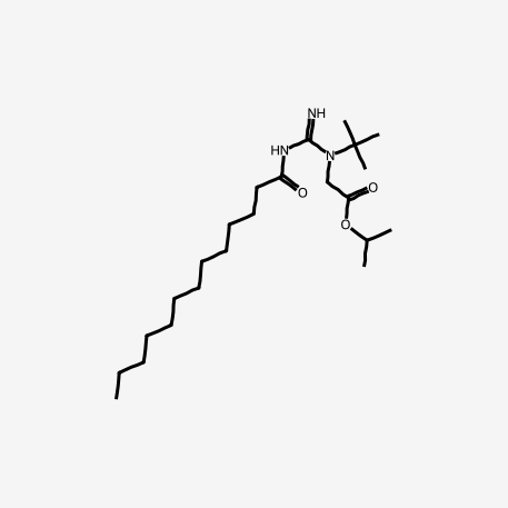 CCCCCCCCCCCCC(=O)NC(=N)N(CC(=O)OC(C)C)C(C)(C)C